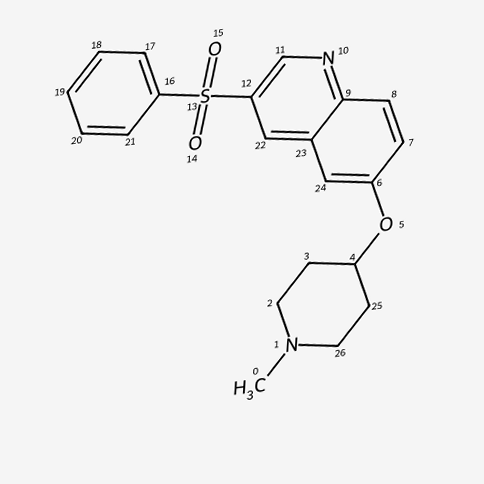 CN1CCC(Oc2ccc3ncc(S(=O)(=O)c4ccccc4)cc3c2)CC1